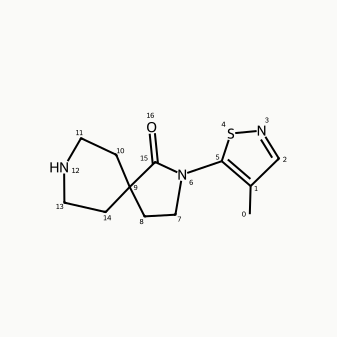 Cc1cnsc1N1CCC2(CCNCC2)C1=O